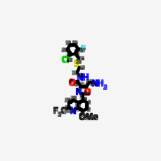 COc1ccc(-c2nc(C(=O)NCCSCc3c(F)cccc3Cl)c(CN)o2)c2ccc(C(F)(F)F)nc12